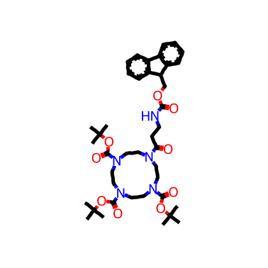 CC(C)(C)OC(=O)N1CCN(C(=O)CCNC(=O)OCC2c3ccccc3-c3ccccc32)CCN(C(=O)OC(C)(C)C)CCN(C(=O)OC(C)(C)C)CC1